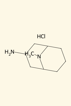 CN1C2CCCC1CC(N)C2.Cl